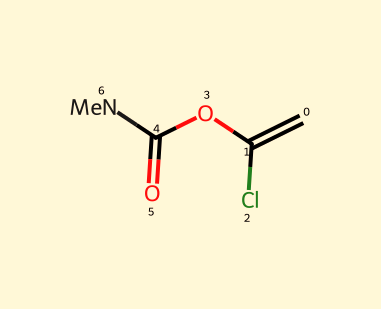 C=C(Cl)OC(=O)NC